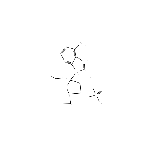 COCC[C@@]1(n2cnc3c(N)ncnc32)O[C@H](CO)[C@@H](OP(O)(O)=S)[C@H]1O